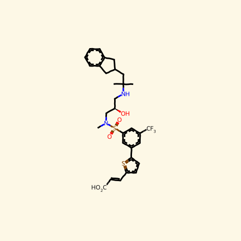 CN(C[C@H](O)CNC(C)(C)CC1Cc2ccccc2C1)S(=O)(=O)c1cc(-c2ccc(C=CC(=O)O)s2)cc(C(F)(F)F)c1